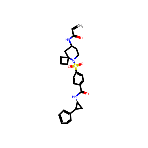 C=CC(=O)NC1CCN(S(=O)(=O)c2ccc(C(=O)N[C@@H]3CC3c3ccccc3)cc2)C2(CCC2)C1